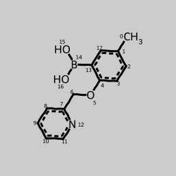 Cc1ccc(OCc2ccccn2)c(B(O)O)c1